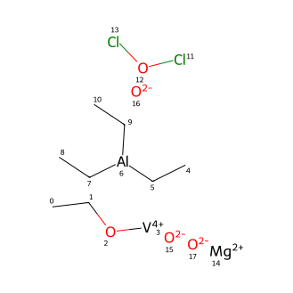 CC[O][V+4].C[CH2][Al]([CH2]C)[CH2]C.ClOCl.[Mg+2].[O-2].[O-2].[O-2]